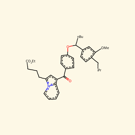 CCCCC(Oc1ccc(C(=O)c2cc(CCCC(=O)OCC)n3ccccc23)cc1)c1ccc(CC(C)C)c(OC)c1